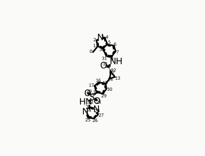 Cc1cncc2ccc(NC(=O)[C@@H]3CC3c3ccc(S(=O)(=O)Nc4ncccn4)cc3)cc12